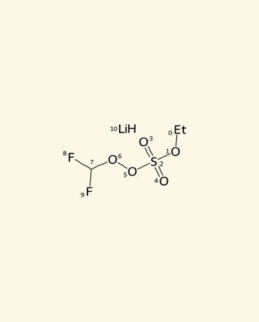 CCOS(=O)(=O)OOC(F)F.[LiH]